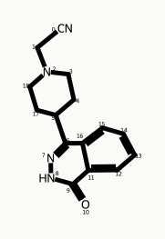 N#CCN1CCC(c2n[nH]c(=O)c3ccccc23)CC1